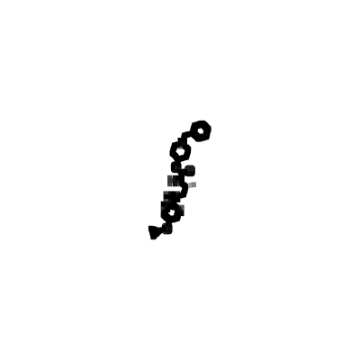 C[C@H](CNc1ncc(OC2CC2)cn1)NC(=O)OC1CCN(Cc2ccccc2)CC1